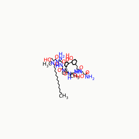 CCCCCCCCCCCCCCCC(=O)N(C)C(CO)C(=O)N[C@H](N)C(=O)NCC(=O)N(C)[C@@H]1C(=O)N[C@@H](C)C(=O)NC(C(=O)NCC(O)C(N)=O)Cc2ccc(O)c(c2)-c2cc1ccc2O